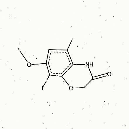 COc1cc(C)c2c(c1I)OCC(=O)N2